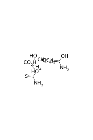 C.C.C.C.NC(O)=S.NC(O)=S.O=C(O)O